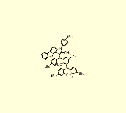 Cc1cc(C(C)(C)C)ccc1N(c1ccc(C(C)(C)C)cc1)c1cc(C(C)C)cc(N(c2ccc(C(C)(C)C)cc2)c2c(C)n(-c3ccc(C(C)(C)C)cc3)c3ccc4c5ccccc5sc4c23)c1C